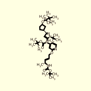 C[C@H](/C=C/COc1cc(N(C(=O)OC(C)(C)C)c2cc([C@H]3CC[C@@H](O[Si](C)(C)C(C)(C)C)C3)nn2C(C)(C)C)ccn1)NC(=O)OC(C)(C)C